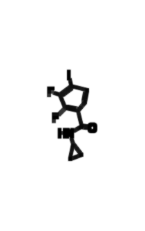 O=C(NC1CC1)c1ccc(I)c(F)c1F